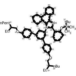 CCCCCC(CC)COc1ccc(-c2cc(-c3ccc(OCC(CC)CCCC)cc3)cc(-n3c(-c4ccccc4O[Si](C)(C)C(C)(C)C)nc4c5ccccc5c5ccccc5c43)c2)cc1